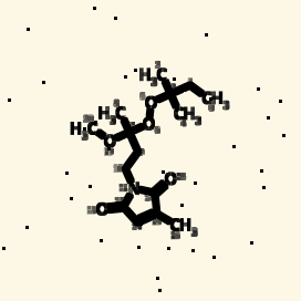 CCC(C)(C)OOC(C)(CCN1C(=O)C=C(C)C1=O)OC